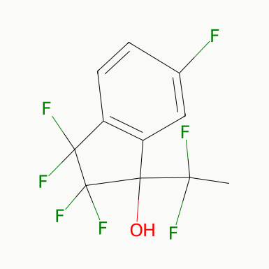 CC(F)(F)C1(O)c2cc(F)ccc2C(F)(F)C1(F)F